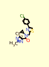 Cn1nc(C(=O)N(Cc2nc(-c3ccc(Cl)cc3)cs2)C2CC2)c(C(F)(F)F)n1